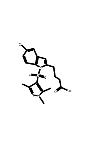 Cc1nn(C)c(C)c1S(=O)(=O)n1c(CCCC(=O)O)cc2cc(Cl)ccc21